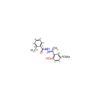 COc1ccc(O)c(/C(C)=N/NC(=O)c2ccccc2C)c1